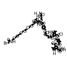 Cc1c[nH]c2c(OC(=O)N(C)CCN(C)C(=O)OCc3ccc(NC(=O)[C@H](CCCNC(N)=O)NC(=O)[C@@H](NC(=O)CCOCCOCCOCCOCCOCCOCCNC(=O)CBr)C(C)C)cc3)cc3c(c12)[C@H](CCl)CN3C(=O)C12CC3(C(=O)N4C[C@@H](CCl)c5c4cc(OP(=O)(O)O)c4[nH]cc(C)c54)CC13C2